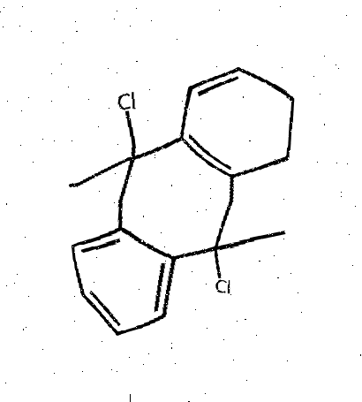 CC1(Cl)C2=C(CCC=C2)C(C)(Cl)c2ccccc21